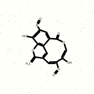 C=C1Oc2c(O)c(N=O)cc3c(=O)occ(O)c(N=O)cc1cc23